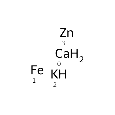 [CaH2].[Fe].[KH].[Zn]